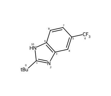 CC(C)(C)c1nc2cc(C(F)(F)F)ccc2[nH]1